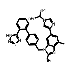 CCCc1nc2c(C)cc(-c3cn(C(CCC)CCC)cn3)cc2n1Cc1ccc(-c2ccccc2-c2nnn[nH]2)cc1